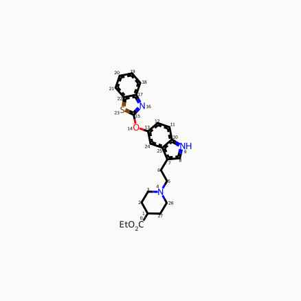 CCOC(=O)C1CCN(CCc2c[nH]c3ccc(Oc4nc5ccccc5s4)cc23)CC1